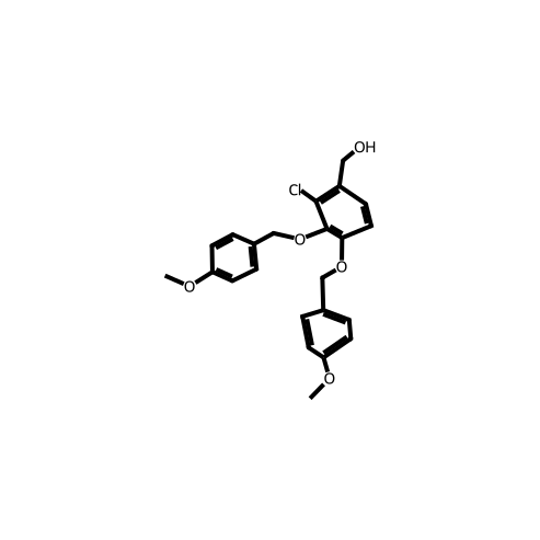 COc1ccc(COc2ccc(CO)c(Cl)c2OCc2ccc(OC)cc2)cc1